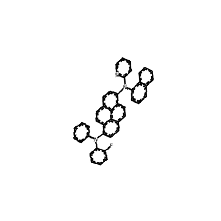 Fc1ccccc1N(c1ccccc1)c1ccc2ccc3c(N(c4ccccn4)c4cccc5ccccc45)ccc4ccc1c2c43